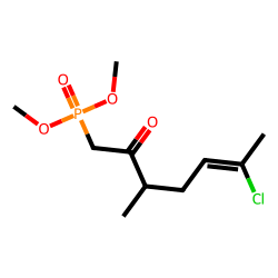 COP(=O)(CC(=O)C(C)C/C=C(/C)Cl)OC